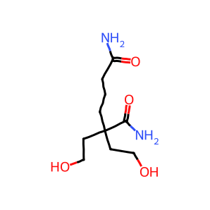 NC(=O)CCCC(CCO)(CCO)C(N)=O